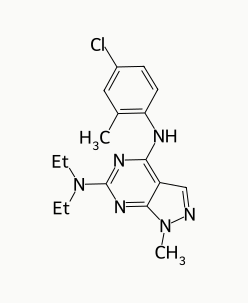 CCN(CC)c1nc(Nc2ccc(Cl)cc2C)c2cnn(C)c2n1